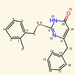 Cc1ccccc1CSc1nc(Cc2ccccc2)cc(=O)[nH]1